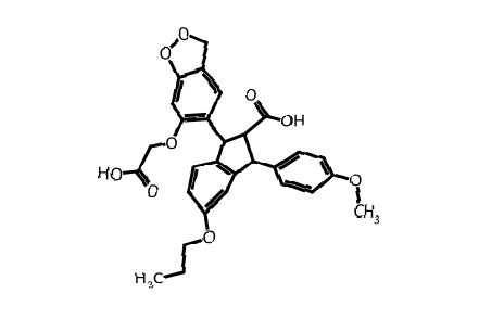 CCCOc1ccc2c(c1)C(c1ccc(OC)cc1)C(C(=O)O)C2c1cc2c(cc1OCC(=O)O)OOC2